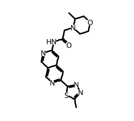 Cc1nnc(-c2cc3cc(NC(=O)CN4CCOCC4C)ncc3cn2)s1